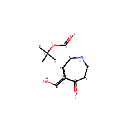 CC(C)(C)OC=O.O=C1CCNCC/C1=C\O